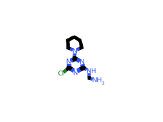 NCNc1nc(Cl)nc(N2CCCCC2)n1